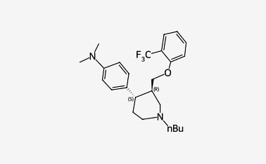 CCCCN1CC[C@H](c2ccc(N(C)C)cc2)[C@@H](COc2ccccc2C(F)(F)F)C1